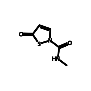 CNC(=O)n1ccc(=O)s1